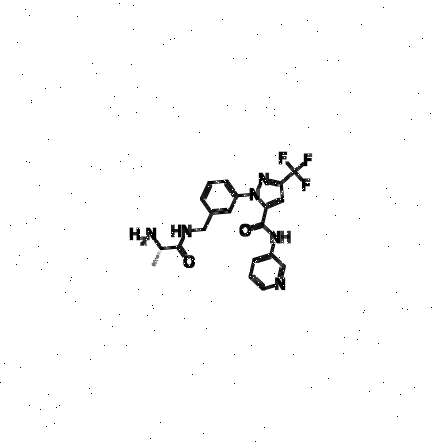 C[C@H](N)C(=O)NCc1cccc(-n2nc(C(F)(F)F)cc2C(=O)Nc2cccnc2)c1